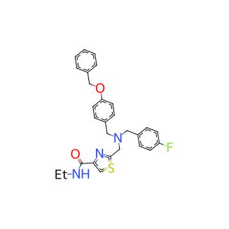 CCNC(=O)c1csc(CN(Cc2ccc(F)cc2)Cc2ccc(OCc3ccccc3)cc2)n1